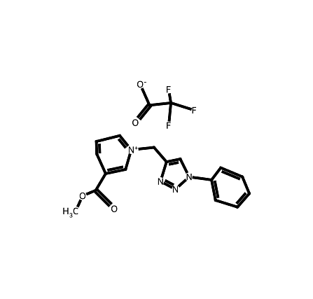 COC(=O)c1ccc[n+](Cc2cn(-c3ccccc3)nn2)c1.O=C([O-])C(F)(F)F